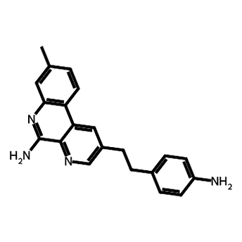 Cc1ccc2c(c1)nc(N)c1ncc(CCc3ccc(N)cc3)cc12